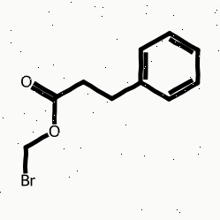 O=C(CCc1ccccc1)OCBr